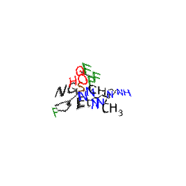 CCc1nn2c(C)cc(N3CCC4(CNC4)C3)cc2c1N(C)c1nc(-c2ccc(F)cc2)c(C#N)s1.O=C(O)C(F)(F)F